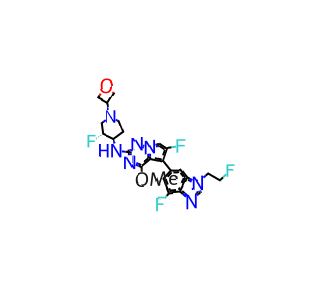 COc1nc(N[C@@H]2CCN(C3COC3)C[C@H]2F)nn2cc(F)c(-c3cc(F)c4ncn(CCF)c4c3)c12